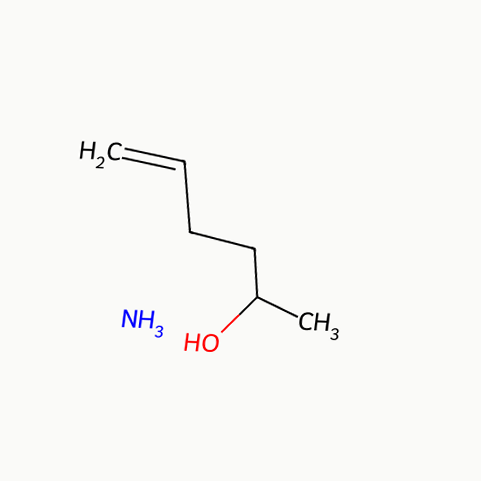 C=CCCC(C)O.N